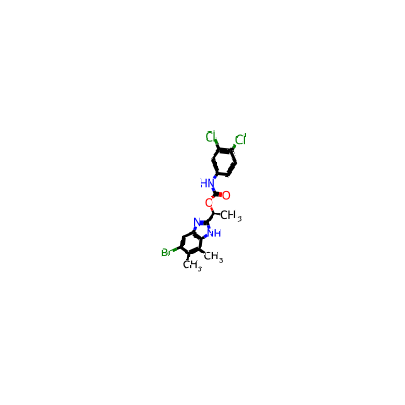 Cc1c(Br)cc2nc([C@H](C)OC(=O)Nc3ccc(Cl)c(Cl)c3)[nH]c2c1C